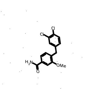 COc1cc(C(N)=O)ccc1Cc1ccc(Cl)c(Cl)c1